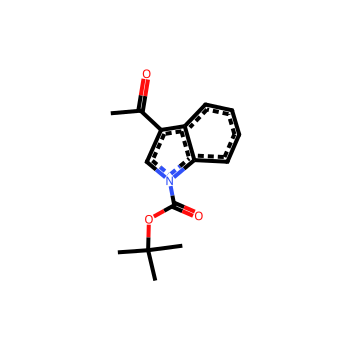 CC(=O)c1cn(C(=O)OC(C)(C)C)c2ccccc12